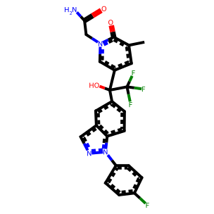 Cc1cc(C(O)(c2ccc3c(cnn3-c3ccc(F)cc3)c2)C(F)(F)F)cn(CC(N)=O)c1=O